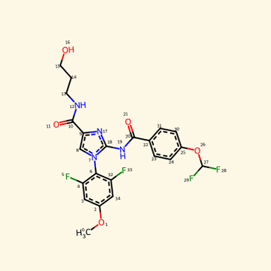 COc1cc(F)c(-n2cc(C(=O)NCCCO)nc2NC(=O)c2ccc(OC(F)F)cc2)c(F)c1